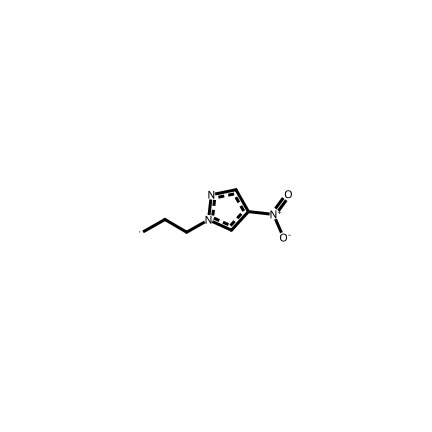 [CH2]CCn1cc([N+](=O)[O-])cn1